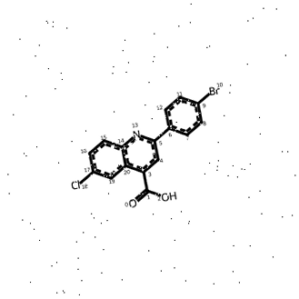 O=C(O)c1cc(-c2ccc(Br)cc2)nc2ccc(Cl)cc12